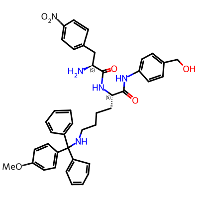 COc1ccc(C(NCCCC[C@H](NC(=O)[C@@H](N)Cc2ccc([N+](=O)[O-])cc2)C(=O)Nc2ccc(CO)cc2)(c2ccccc2)c2ccccc2)cc1